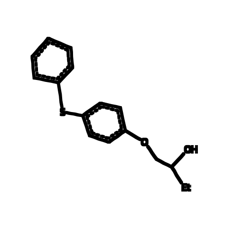 CCC(O)COc1ccc(Sc2ccccc2)cc1